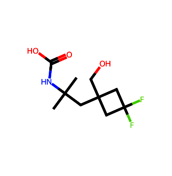 CC(C)(CC1(CO)CC(F)(F)C1)NC(=O)O